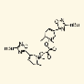 CCCCc1noc(C2=CCC(C)[N+](C)(OC(=O)C(=O)O[N+]3(C)CC(c4nc(CCCC)no4)=CCC3C)C2)n1